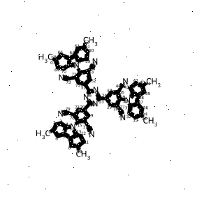 Cc1ccc2c(c1)c1cc(C)ccc1n2-c1c(C#N)cc(-c2nc(-c3cc(C#N)c(-n4c5ccc(C)cc5c5cc(C)ccc54)c(C#N)c3)nc(-c3cc(C#N)c(-n4c5ccc(C)cc5c5cc(C)ccc54)c(C#N)c3)n2)cc1C#N